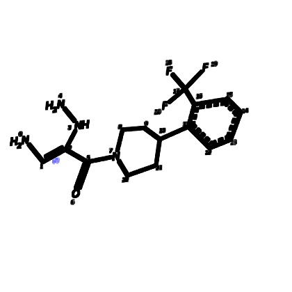 N/C=C(\NN)C(=O)N1CCC(c2ccccc2C(F)(F)F)CC1